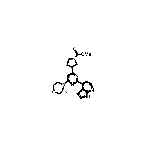 COC(=O)N1CCC(c2cc(N3CCOC[C@H]3C)nc(-c3ccnc4[nH]ccc34)n2)C1